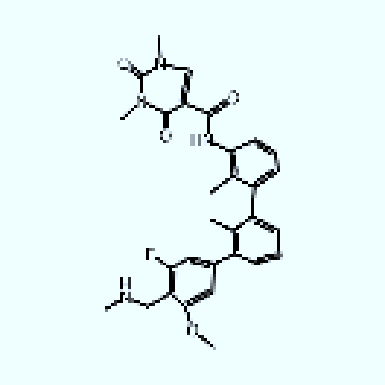 CNCc1c(F)cc(-c2cccc(-c3cccc(NC(=O)c4cn(C)c(=O)n(C)c4=O)c3C)c2C)cc1OC